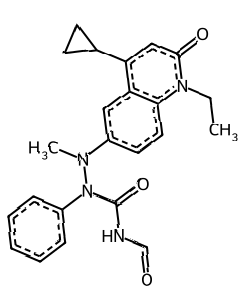 CCn1c(=O)cc(C2CC2)c2cc(N(C)N(C(=O)NC=O)c3ccccc3)ccc21